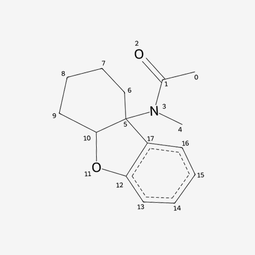 CC(=O)N(C)C12CCCCC1Oc1ccccc12